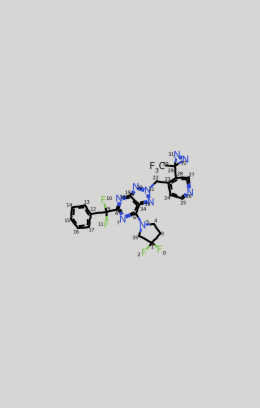 FC1(F)CCN(c2nc(C(F)(F)c3ccccc3)nc3nn(Cc4ccncc4C4(C(F)(F)F)N=N4)nc23)C1